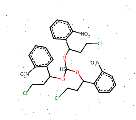 O=[N+]([O-])c1ccccc1C(CCCl)O[SiH](OC(CCCl)c1ccccc1[N+](=O)[O-])OC(CCCl)c1ccccc1[N+](=O)[O-]